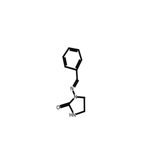 O=C1NC[CH]N1N=Cc1ccccc1